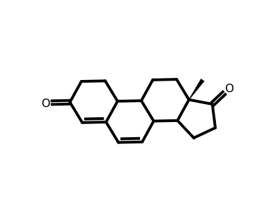 C[C@]12CCC3C4CCC(=O)C=C4C=CC3C1CCC2=O